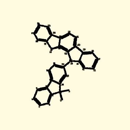 CC1(C)c2ccccc2-c2ccc(-n3c4ccccc4c4ccc5c6ccccc6sc5c43)cc21